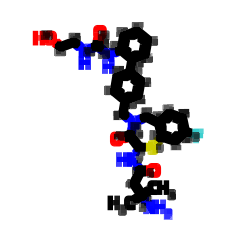 CC(C)(N)CC(=O)N[C@@H]1Sc2cc(F)ccc2CN(Cc2ccc(-c3ccccc3NC(=O)NCCO)cc2)C1=O